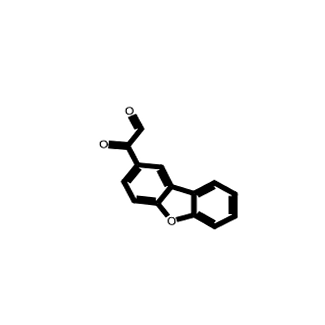 O=CC(=O)c1ccc2oc3ccccc3c2c1